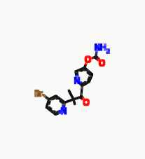 CC(C)(C(=O)c1ccc(OC(N)=O)cn1)c1cc(Br)ccn1